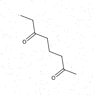 [CH2]CC(=O)CCCC(C)=O